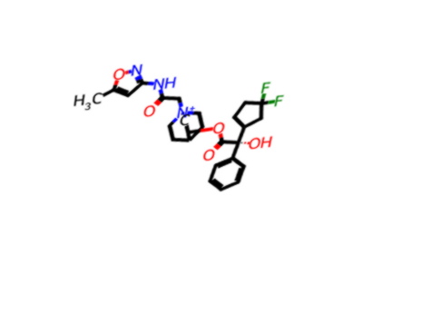 Cc1cc(NC(=O)C[N+]23CCC(CC2)C(OC(=O)[C@](O)(c2ccccc2)C2CCC(F)(F)C2)C3)no1